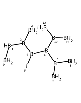 BBB(B)B(I)B(B(B)B)B(B)B